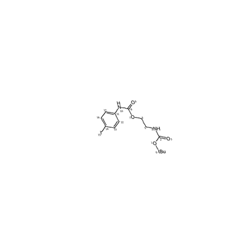 CC(C)(C)OC(=O)NCCOC(=O)Nc1ccc(I)cc1